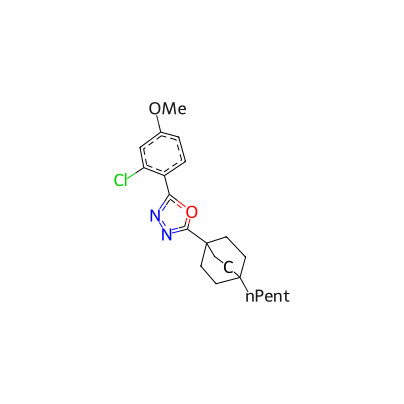 CCCCCC12CCC(c3nnc(-c4ccc(OC)cc4Cl)o3)(CC1)CC2